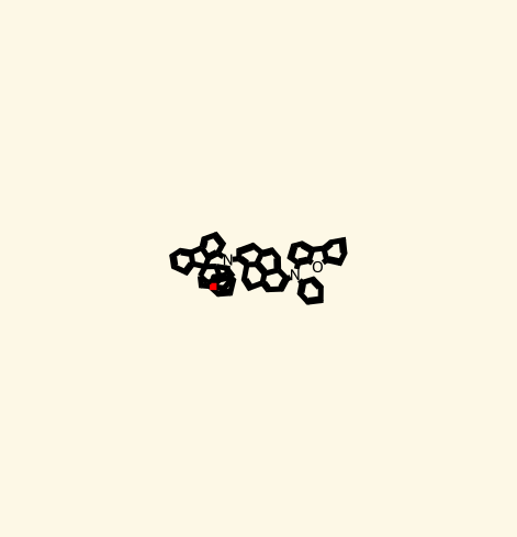 c1ccc(N(c2cccc3c2C2(c4ccccc4-3)C3CC4CC(C3)CC2C4)c2ccc3ccc4c(N(c5ccccc5)c5cccc6c5oc5ccccc56)ccc5ccc2c3c54)cc1